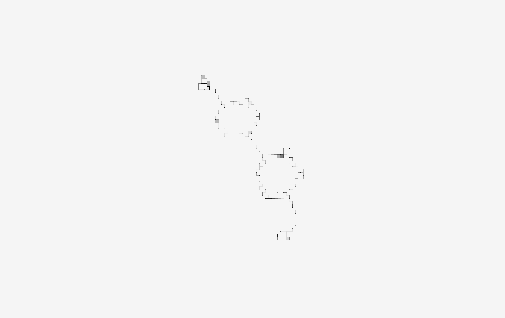 ClCc1ccc(-c2ccc(Br)cc2)nn1